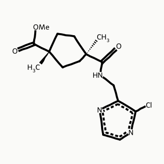 COC(=O)[C@]1(C)CC[C@@](C)(C(=O)NCc2nccnc2Cl)CC1